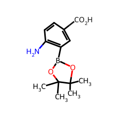 CC1(C)OB(c2cc(C(=O)O)ccc2N)OC1(C)C